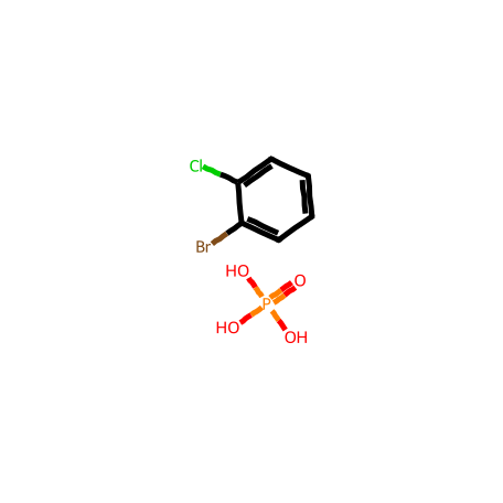 Clc1ccccc1Br.O=P(O)(O)O